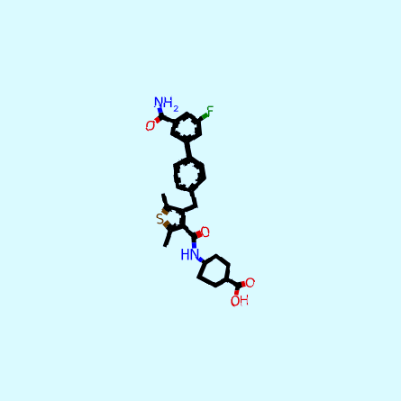 Cc1sc(C)c(C(=O)NC2CCC(C(=O)O)CC2)c1Cc1ccc(-c2cc(F)cc(C(N)=O)c2)cc1